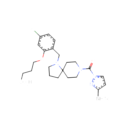 CC(=O)Nc1ccn(C(=O)N2CCC3(CCCN3Cc3ccc(Cl)cc3OCCCC(=O)O)CC2)n1